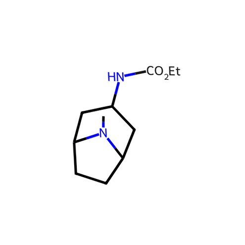 CCOC(=O)NC1CC2CCC(C1)N2C